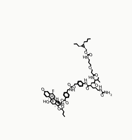 CCCC[C@@H]1[C@H](CCC)[C@@H]1COC(=O)NCCCOCCC(=O)N[C@H](C(=O)C[C@@H](CCCNC(N)=O)C(=O)Nc1ccc(COC(=O)NCc2ccc(C(=O)OCC(=O)[C@@]34OC(CCC)O[C@@H]3C[C@H]3[C@@H]5C[C@H](F)C6=CC(=O)C=C[C@]6(C)[C@@]5(F)[C@@H](O)C[C@@]34C)cc2)cc1)C(C)C